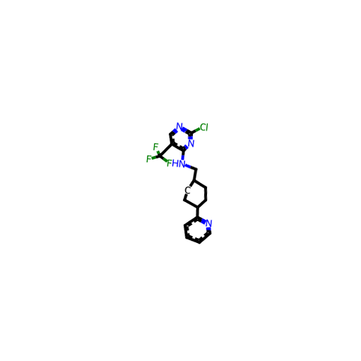 FC(F)(F)c1cnc(Cl)nc1NCC1CCC(c2ccccn2)CC1